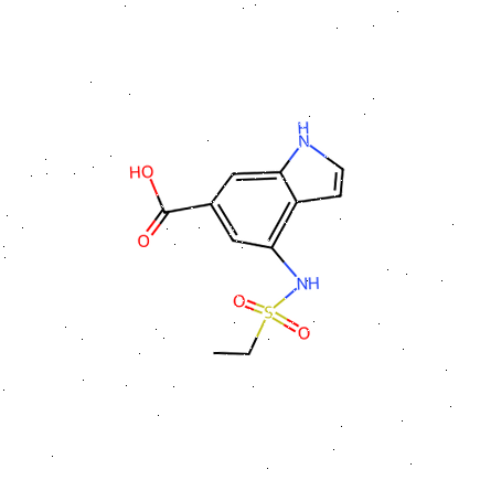 CCS(=O)(=O)Nc1cc(C(=O)O)cc2[nH]ccc12